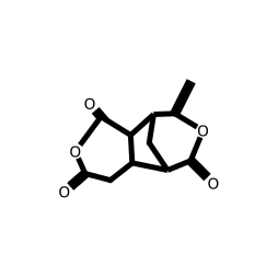 C=C1OC(=O)C2CC1C1C(=O)OC(=O)CC21